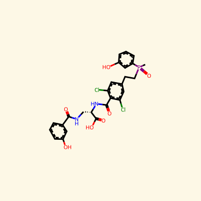 CP(=O)(CCc1cc(Cl)c(C(=O)N[C@@H](CNC(=O)c2cccc(O)c2)C(=O)O)c(Cl)c1)c1cccc(O)c1